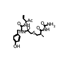 C=C[C@H](NC(=O)[C@H](Cc1ccc(O)cc1)NC(=O)CSC[C@H](C)C(=O)NC(N)=O)C(C)=O